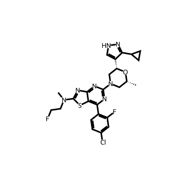 C[C@@H]1CN(c2nc(-c3ccc(Cl)cc3F)c3sc(N(C)CCF)nc3n2)C[C@H](c2c[nH]nc2C2CC2)O1